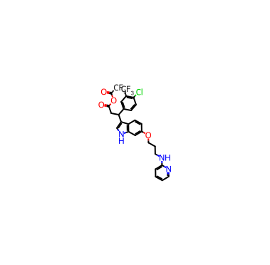 O=C(CC(c1ccc(Cl)c(C(F)(F)F)c1)c1c[nH]c2cc(OCCCNc3ccccn3)ccc12)OC(=O)C(F)(F)F